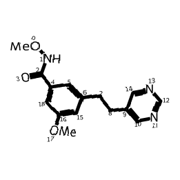 CONC(=O)c1cc(CCc2cncnc2)cc(OC)c1